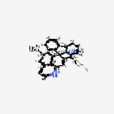 C=C(NCC)C1=Cc2nccc3cc(C(C)(C)C)cc(c23)C12c1ccccc1-c1ccccc12